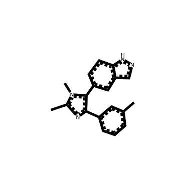 Cc1cccc(-c2nc(C)n(C)c2-c2ccc3[nH]ncc3c2)c1